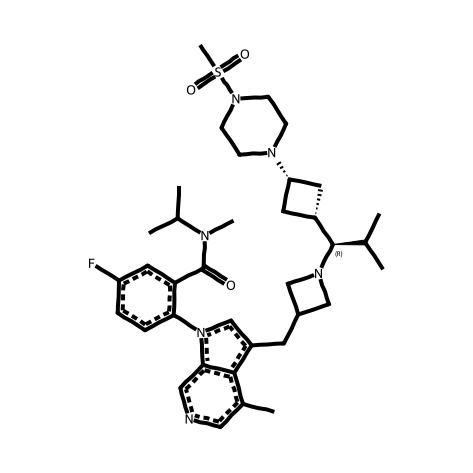 Cc1cncc2c1c(CC1CN([C@H](C(C)C)[C@H]3C[C@@H](N4CCN(S(C)(=O)=O)CC4)C3)C1)cn2-c1ccc(F)cc1C(=O)N(C)C(C)C